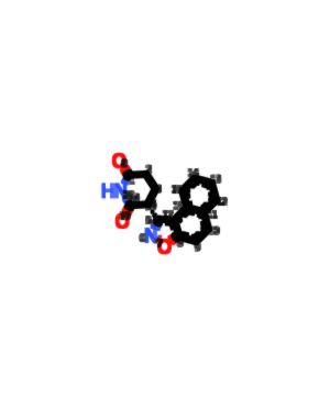 O=C1CC[C@H](c2noc3ccc4ccccc4c23)C(=O)N1